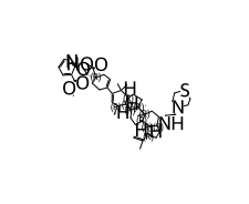 C=C(C)[C@@H]1CC[C@]2(NCCN3CCSCC3)CC[C@]3(C)[C@H](CC[C@@H]4[C@@H]5[C@@H](CC[C@]43C)C(C)(C)C(C3=CC[C@](COc4ncccc4C(=O)OC)(C(=O)O)CC3)=C[C@@H]5C)[C@@H]12